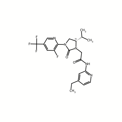 CCc1ccnc(NC(=O)CN2C(=O)N(c3ncc(C(F)(F)F)cc3F)C[C@@H]2C(C)C)c1